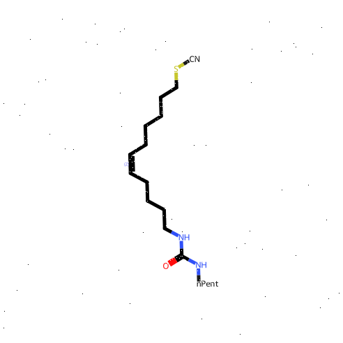 CCCCCNC(=O)NCCCC/C=C\CCCCCSC#N